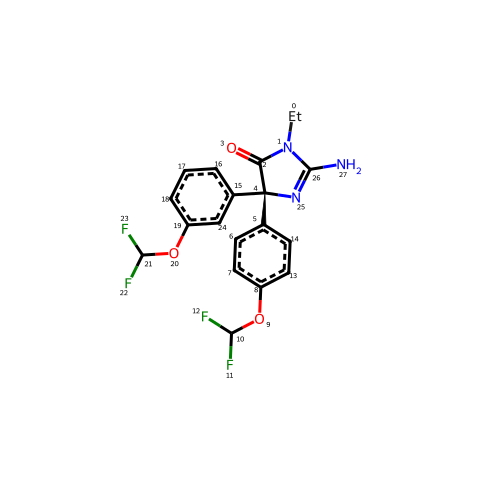 CCN1C(=O)[C@@](c2ccc(OC(F)F)cc2)(c2cccc(OC(F)F)c2)N=C1N